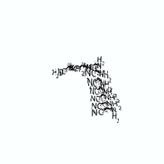 N#CCN.N#CCN.N#CCN.N#CCN.N#CCN.N#CCN.N#CCN.N#CCN.N#CCN.O